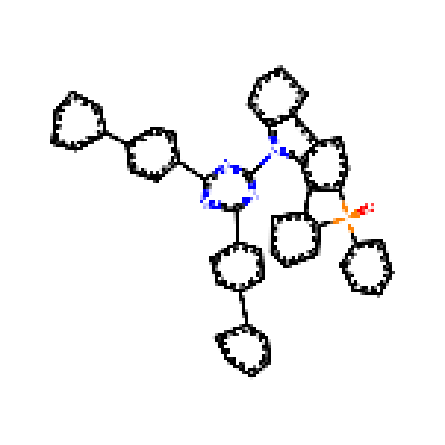 O=P1(c2ccccc2)c2ccccc2-c2c1ccc1c3ccccc3n(-c3nc(-c4ccc(-c5ccccc5)cc4)nc(-c4ccc(-c5ccccc5)cc4)n3)c21